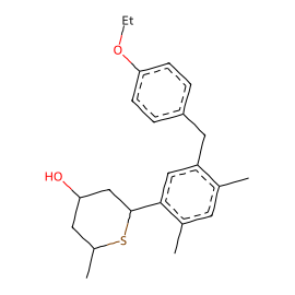 CCOc1ccc(Cc2cc(C3CC(O)CC(C)S3)c(C)cc2C)cc1